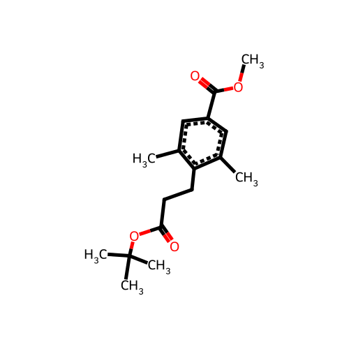 COC(=O)c1cc(C)c(CCC(=O)OC(C)(C)C)c(C)c1